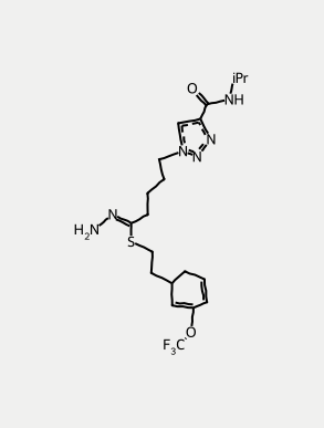 CC(C)NC(=O)c1cn(CCCC/C(=N/N)SCCC2C=C(OC(F)(F)F)C=CC2)nn1